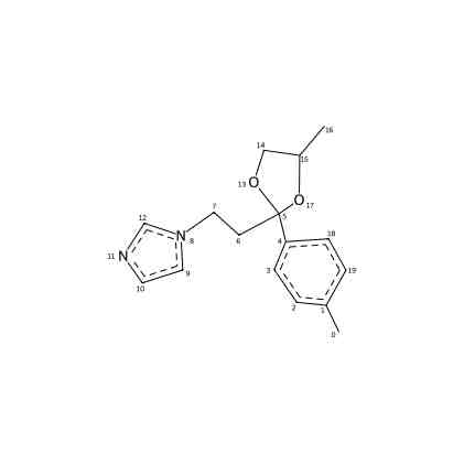 Cc1ccc(C2(CCn3ccnc3)OCC(C)O2)cc1